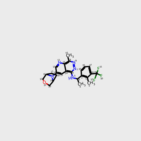 Cc1c(C(C)Nc2nnc(C)c3ncc(N4C5CCC4COC5)cc23)cccc1C(F)(F)F